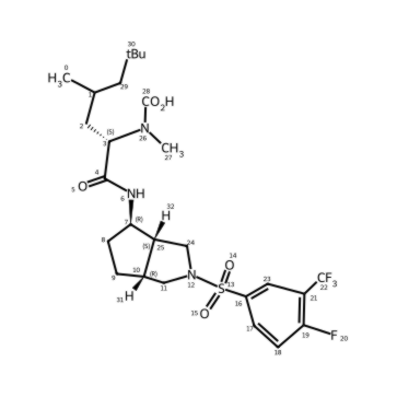 CC(C[C@@H](C(=O)N[C@@H]1CC[C@H]2CN(S(=O)(=O)c3ccc(F)c(C(F)(F)F)c3)C[C@H]21)N(C)C(=O)O)CC(C)(C)C